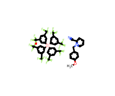 COc1ccc(C[n+]2ccccc2C#N)cc1.FC(F)(F)c1cc([B-](c2cc(C(F)(F)F)cc(C(F)(F)F)c2)(c2cc(C(F)(F)F)cc(C(F)(F)F)c2)c2cc(C(F)(F)F)cc(C(F)(F)F)c2)cc(C(F)(F)F)c1